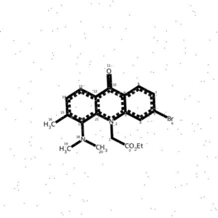 CCOC(=O)Cn1c2cc(Br)ccc2c(=O)c2ccc(C)c(N(C)C)c21